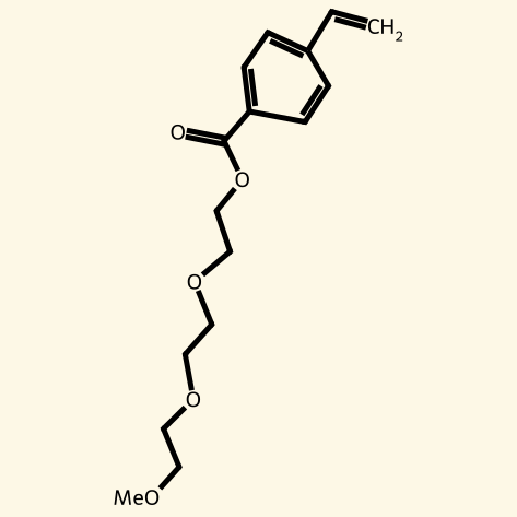 C=Cc1ccc(C(=O)OCCOCCOCCOC)cc1